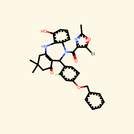 CCc1oc(C)nc1C(=O)N1c2cccc(O)c2NC2=C(C(=O)CC(C)(C)C2)C1c1ccc(OCc2ccccc2)cc1F